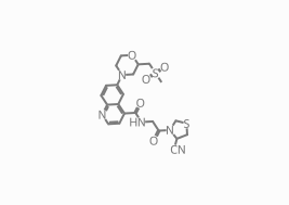 CS(=O)(=O)CC1CN(c2ccc3nccc(C(=O)NCC(=O)N4CSCC4C#N)c3c2)CCO1